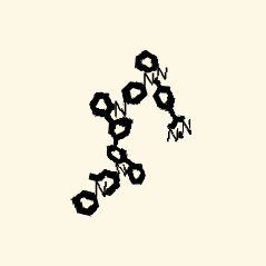 CC1C=C(n2c3ccccc3c3cc(-c4ccc5c(c4)c4ccccc4n5-c4ccc(-n5c(-c6ccc(-c7cncnc7)cc6)nc6ccccc65)cc4)ccc32)C=CN1c1ccccc1